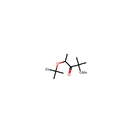 CCC(C)(C)OC(C)C(=O)C(C)(C)OC